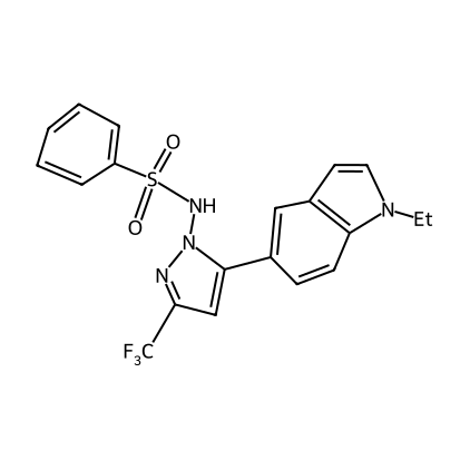 CCn1ccc2cc(-c3cc(C(F)(F)F)nn3NS(=O)(=O)c3ccccc3)ccc21